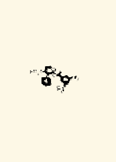 CC(OC1OCC[C@@H](C(=O)O)[C@@H]1c1ccccc1)c1cc(C(F)(F)F)cc(C(F)(F)F)c1